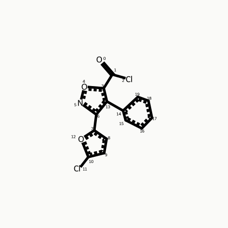 O=C(Cl)c1onc(-c2ccc(Cl)o2)c1-c1ccccc1